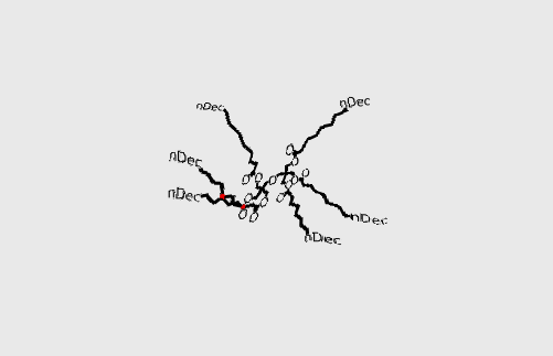 CCCCCCCCCCCCCCCCCC(=O)OCC(COCC(COC(=O)CCCCCCCCCCCCCCCCC)(COC(=O)CCCCCCCCCCCCCCCCC)COC(=O)CCCCCCCCCCCCCCCCC)(COC(=O)CCCCCCCCCCCCCCCCC)COC(=O)CCCCCCCCCCCCCCCCC